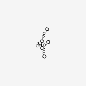 CC1(C)C(=O)N(c2ccc(OCc3ccccc3)nc2OCc2ccccc2)c2ccc(C3CC(OCc4ccccc4)C3)cc21